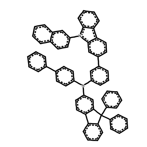 c1ccc(-c2ccc(N(c3cccc(-c4ccc5c6ccccc6n(-c6ccc7ccccc7c6)c5c4)c3)c3ccc4c(c3)C(c3ccccc3)(c3ccccc3)c3ccccc3-4)cc2)cc1